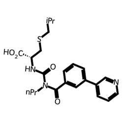 CCCN(C(=O)N[C@@H](CSCC(C)C)C(=O)O)C(=O)c1cccc(-c2cccnc2)c1